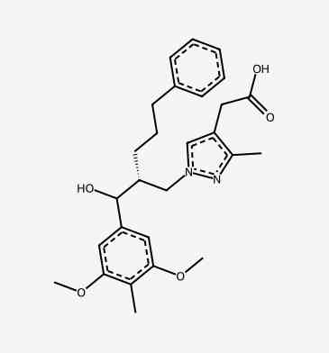 COc1cc(C(O)[C@H](CCCc2ccccc2)Cn2cc(CC(=O)O)c(C)n2)cc(OC)c1C